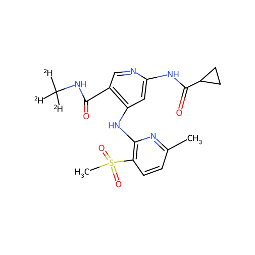 [2H]C([2H])([2H])NC(=O)c1cnc(NC(=O)C2CC2)cc1Nc1nc(C)ccc1S(C)(=O)=O